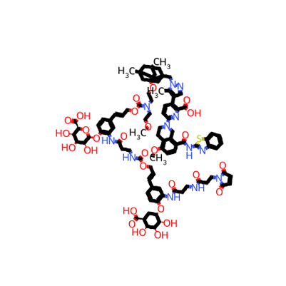 COCCN(CCOC12CC3(C)CC(C)(CC(Cn4ncc(-c5ccc(N6CCc7c(OC)ccc(C(=O)Nc8nc9ccccc9s8)c7C6)nc5C(=O)O)c4C)(C3)C1)C2)C(=O)OC/C=C/c1ccc(O[C@@H]2O[C@H](C(=O)O)[C@@H](O)[C@H](O)[C@H]2O)c(NC(=O)CCNC(=O)OC/C=C/c2ccc(O[C@H]3C[C@H](C(=O)O)[C@@H](O)[C@@H](O)[C@H]3O)c(NC(=O)CCNC(=O)CCN3C(=O)C=CC3=O)c2)c1